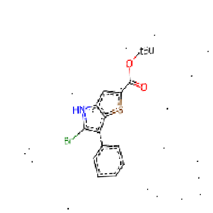 CC(C)(C)OC(=O)c1cc2[nH]c(Br)c(-c3ccccc3)c2s1